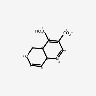 O=C(O)C1=C(C(=O)O)C2COC=CC2N=C1